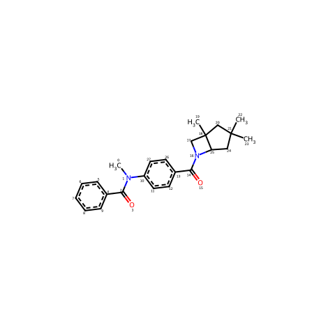 CN(C(=O)c1ccccc1)c1ccc(C(=O)N2CC3(C)CC(C)(C)CC23)cc1